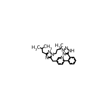 CCCCn1nc(CC(C)C)nc1Cc1ccc(-c2ccccc2-c2nnn[nH]2)nc1